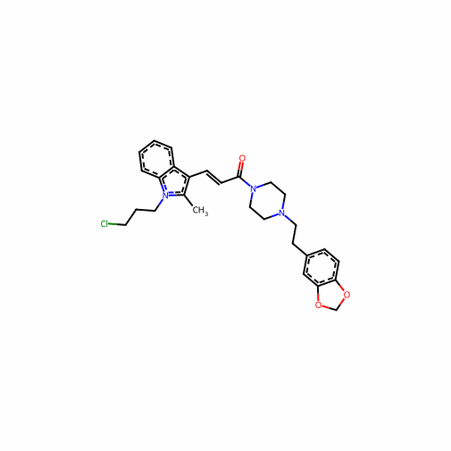 Cc1c(/C=C/C(=O)N2CCN(CCc3ccc4c(c3)OCO4)CC2)c2ccccc2n1CCCCl